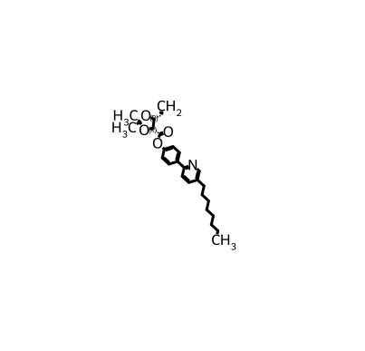 C=C[C@H]1OC(C)(C)O[C@H]1C(=O)Oc1ccc(-c2ccc(CCCCCCCC)cn2)cc1